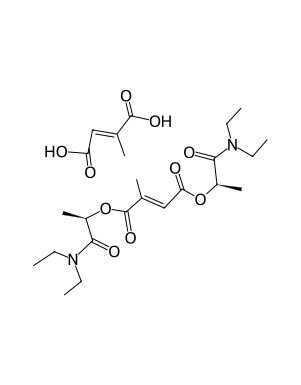 C/C(=C\C(=O)O)C(=O)O.CCN(CC)C(=O)[C@@H](C)OC(=O)/C=C(\C)C(=O)O[C@H](C)C(=O)N(CC)CC